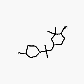 CC(C)N1CCN(C(C)(C)CN2CCN(C(C)C)C(C)(C)C2)CC1